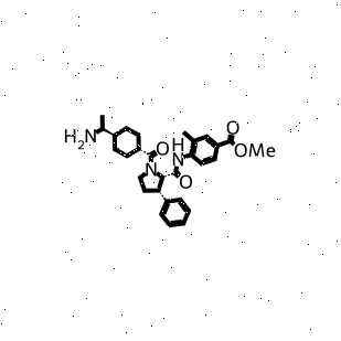 COC(=O)c1ccc(NC(=O)[C@@H]2[C@H](c3ccccc3)CCN2C(=O)[C@H]2CC[C@H](C(C)N)CC2)c(C)c1